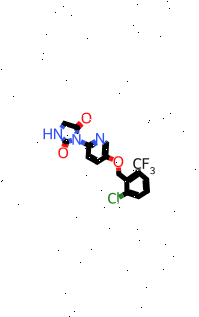 O=C1CNC(=O)N1c1ccc(OCc2c(Cl)cccc2C(F)(F)F)cn1